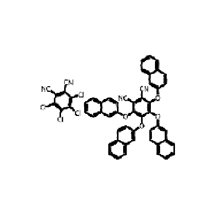 N#Cc1c(C#N)c(Oc2ccc3ccccc3c2)c(Oc2ccc3ccccc3c2)c(Oc2ccc3ccccc3c2)c1Oc1ccc2ccccc2c1.N#Cc1c(Cl)c(Cl)c(Cl)c(Cl)c1C#N